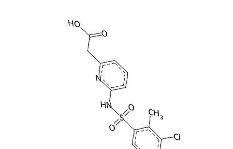 Cc1c(Cl)cccc1S(=O)(=O)Nc1cccc(CC(=O)O)n1